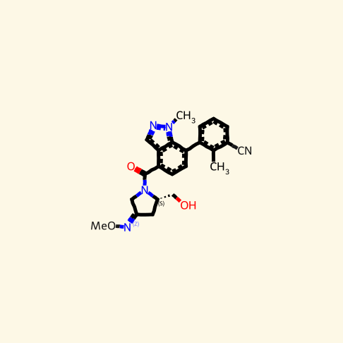 CO/N=C1/C[C@@H](CO)N(C(=O)c2ccc(-c3cccc(C#N)c3C)c3c2cnn3C)C1